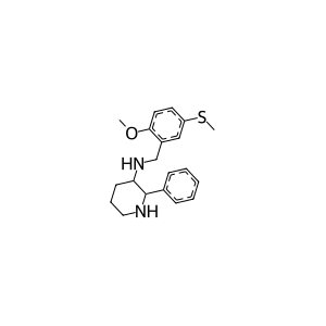 COc1ccc(SC)cc1CNC1CCCNC1c1ccccc1